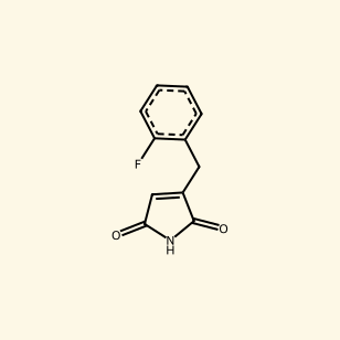 O=C1C=C(Cc2ccccc2F)C(=O)N1